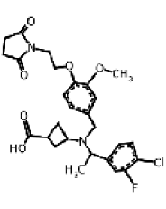 COc1cc(CN(C(C)c2ccc(Cl)c(F)c2)[C@H]2C[C@@H](C(=O)O)C2)ccc1OCCN1C(=O)CCC1=O